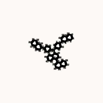 c1ccc2cc(-c3ccc(N(c4ccc(-c5ccc6ccccc6c5)cc4)c4ccc(-c5cccc6ccccc56)c5ccccc45)cc3)ccc2c1